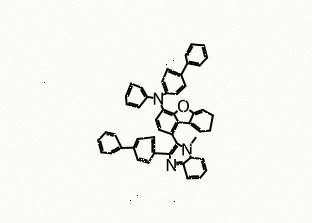 CN1C(c2ccc(N(c3ccccc3)c3ccc(-c4ccccc4)cc3)c3oc4c(c23)=CCCC=4)=C(c2ccc(-c3ccccc3)cc2)N=C2C=CC=CC21